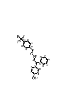 Oc1ccc(C(C=NOCc2ccc(C(F)(F)F)cc2)c2ccccc2)cn1